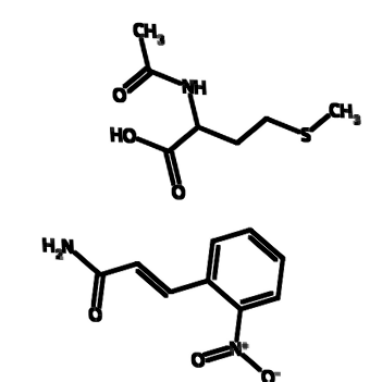 CSCCC(NC(C)=O)C(=O)O.NC(=O)C=Cc1ccccc1[N+](=O)[O-]